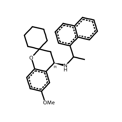 COc1ccc2c(c1)[C@H](NC(C)c1cccc3ccccc13)CC1(CCCCC1)O2